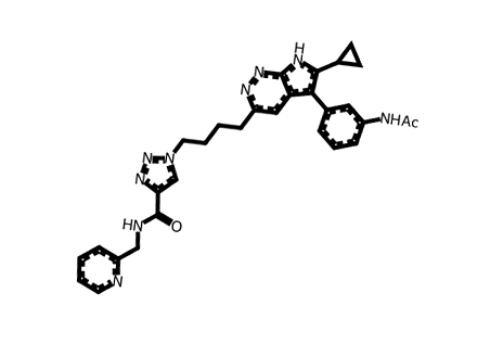 CC(=O)Nc1cccc(-c2c(C3CC3)[nH]c3nnc(CCCCn4cc(C(=O)NCc5ccccn5)nn4)cc23)c1